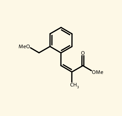 COCc1ccccc1C=C(C)C(=O)OC